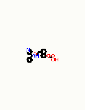 O=C(O)COc1cccc2c1CCC/C2=C/CONC(c1ccccc1)c1ccncc1